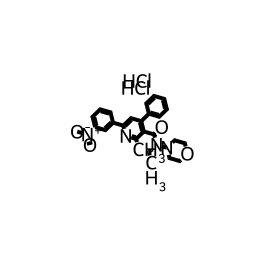 CCN(C(=O)c1c(-c2ccccc2)cc(-c2cccc([N+](=O)[O-])c2)nc1C)N1CCOCC1.Cl.Cl